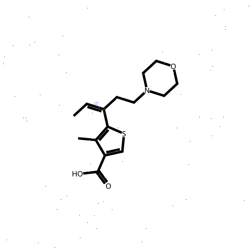 C/C=C(/CCN1CCOCC1)c1scc(C(=O)O)c1C